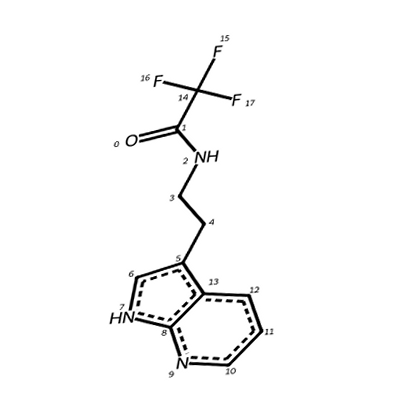 O=C(NCCc1c[nH]c2ncccc12)C(F)(F)F